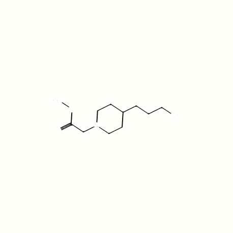 CC(C)(C)OC(=O)CN1CCC(CCCO)CC1